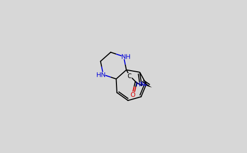 O=C1CC23NCCNC2C=CC=C2C=CNC1=C23